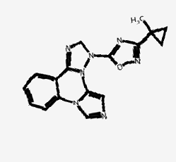 CC1(c2noc(N3CN=C4c5ccccc5-n5cncc5N43)n2)CC1